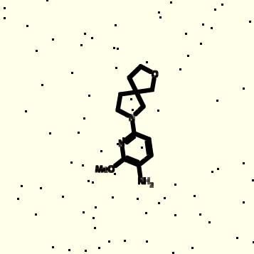 COc1nc(N2CCC3(CCOC3)C2)ccc1N